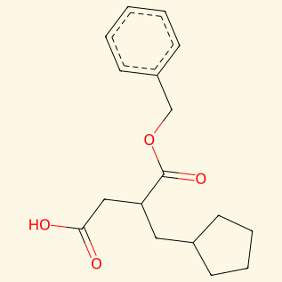 O=C(O)CC(CC1CCCC1)C(=O)OCc1ccccc1